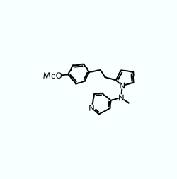 COc1ccc(CCc2cccn2N(C)c2ccncc2)cc1